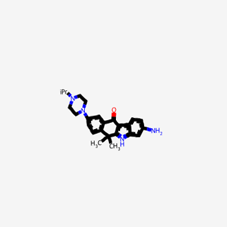 CC(C)N1CCN(c2ccc3c(c2)C(=O)c2c([nH]c4cc(N)ccc24)C3(C)C)CC1